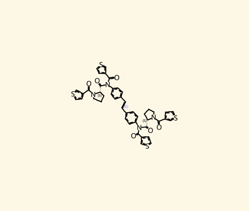 O=C(c1ccsc1)N(C(=O)[C@@H]1CCCN1C(=O)c1ccsc1)c1ccc(/C=C/c2ccc(N(C(=O)c3ccsc3)C(=O)[C@@H]3CCCN3C(=O)c3ccsc3)cc2)cc1